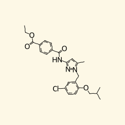 CCOC(=O)c1ccc(C(=O)Nc2cc(C)n(Cc3cc(Cl)ccc3OCC(C)C)n2)cc1